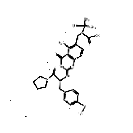 COc1ccc(C[C@H](Nc2nc3ccc(CN(C(=O)O)C(C)(C)C)c(C)c3c(=O)o2)C(=O)N2CCCC2)cc1